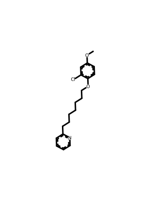 COc1ccc(OCCCCCCCc2ccccn2)c(Cl)c1